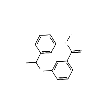 CC(Oc1cccc(C(=N)NN)c1)c1ccccc1